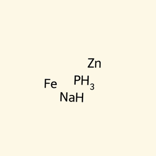 P.[Fe].[NaH].[Zn]